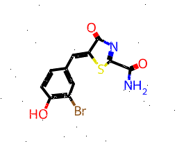 NC(=O)C1=NC(=O)C(=Cc2ccc(O)c(Br)c2)S1